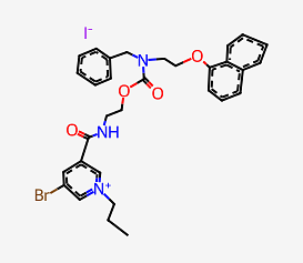 CCC[n+]1cc(Br)cc(C(=O)NCCOC(=O)N(CCOc2cccc3ccccc23)Cc2ccccc2)c1.[I-]